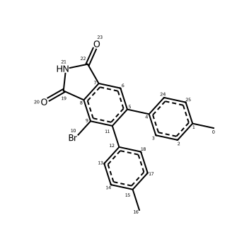 Cc1ccc(-c2cc3c(c(Br)c2-c2ccc(C)cc2)C(=O)NC3=O)cc1